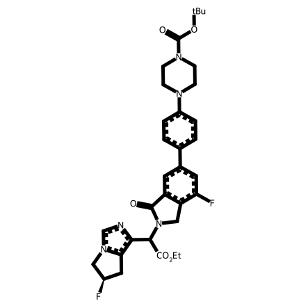 CCOC(=O)C(c1ncn2c1C[C@@H](F)C2)N1Cc2c(F)cc(-c3ccc(N4CCN(C(=O)OC(C)(C)C)CC4)cc3)cc2C1=O